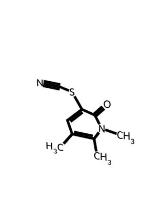 Cc1cc(SC#N)c(=O)n(C)c1C